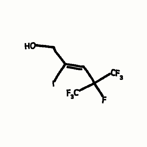 OCC(I)=CC(F)(C(F)(F)F)C(F)(F)F